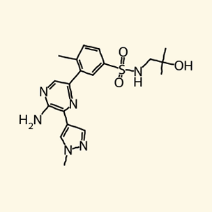 Cc1ccc(S(=O)(=O)NCC(C)(C)O)cc1-c1cnc(N)c(-c2cnn(C)c2)n1